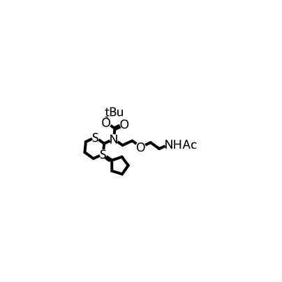 CC(=O)NCCOCCN(C(=O)OC(C)(C)C)C1SCCCS1=C1CCCC1